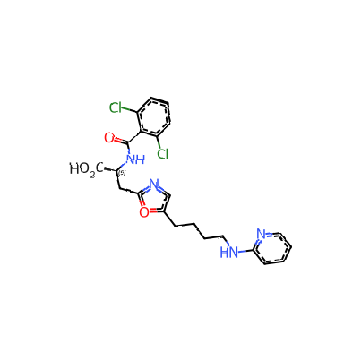 O=C(N[C@@H](Cc1ncc(CCCCNc2ccccn2)o1)C(=O)O)c1c(Cl)cccc1Cl